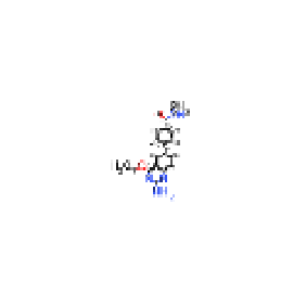 CCOc1nc(N)nc2ccc(-c3ccc(C(=O)NC)cc3)cc12